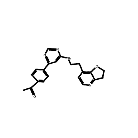 CC(=O)c1ccc(-c2cc(NCCc3ccnc4c3OCC4)ncn2)cc1